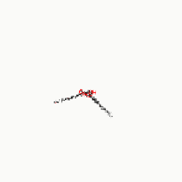 CCCCCCCCC=CCCCCCCCC(=O)OCC(CO)OC(=O)CCCCCCCCCCCCCCCCC